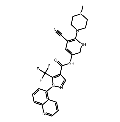 CN1CCN(C2=C(C#N)C=C(NC(=O)c3cnn(-c4cccc5ncccc45)c3C(F)(F)F)CN2)CC1